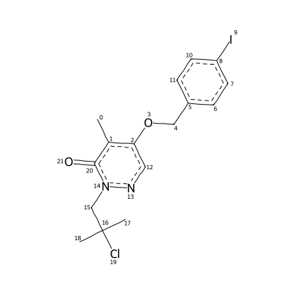 Cc1c(OCc2ccc(I)cc2)cnn(CC(C)(C)Cl)c1=O